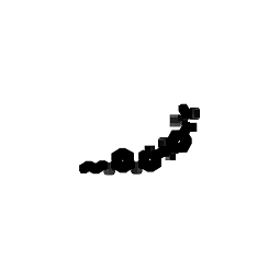 CCCCOc1cccc(Oc2ccc(-c3nc4ccc(C(C)NC(C)=O)cc4o3)nc2)c1